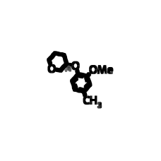 COc1cc(C)ccc1O[C@@H]1CCCOC1